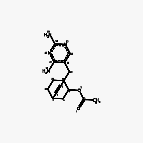 CC(=O)OC1CC2C=CC1(Cc1cnc(N)nc1N)CC2